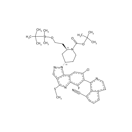 CSc1nc2c(F)c(-c3nccc4cccc(C#N)c34)c(Cl)cc2c2c1cnn2[C@H]1CCN(C(=O)OC(C)(C)C)[C@H](CCO[Si](C)(C)C(C)(C)C)C1